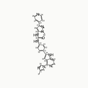 Cc1cn(-c2ncnc3[nH]c(-c4ccc(NC(=O)Nc5cc(-c6ccncc6)nn5C)cc4)cc23)cn1